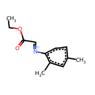 CCOC(=O)/C=N/c1ccc(C)cc1C